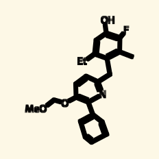 CCc1cc(O)c(F)c(C)c1Cc1ccc(OCOC)c(-c2ccccc2)n1